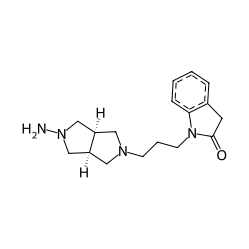 NN1C[C@@H]2CN(CCCN3C(=O)Cc4ccccc43)C[C@@H]2C1